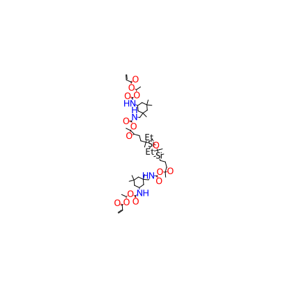 C=CC(=O)OC(C)OC(=O)NC1CC(C)(C)CC(C)(CNC(=O)OC2(C)OC2CCC(C)(CC)[Si](C)(C)OC(C)(CC)[Si](C)(C)CCC2OC2(C)OC(=O)NCC2(C)CC(NC(=O)OC(C)OC(=O)C=C)CC(C)(C)C2)C1